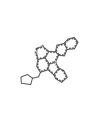 c1ccc2cc3c(cc2c1)c1ncnc2cc(CC4CCCC4)c4c5ccccc5n3c4c21